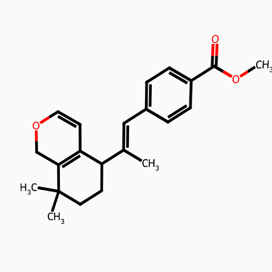 COC(=O)c1ccc(C=C(C)C2CCC(C)(C)C3=C2C=COC3)cc1